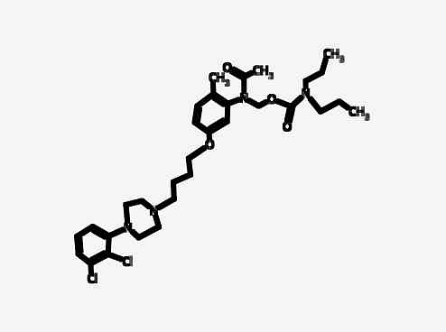 CCCN(CCC)C(=O)OCN(C(C)=O)c1cc(OCCCCN2CCN(c3cccc(Cl)c3Cl)CC2)ccc1C